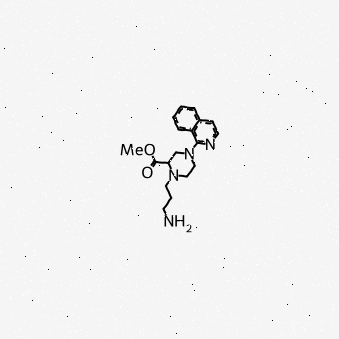 COC(=O)C1CN(c2nccc3ccccc23)CCN1CCCN